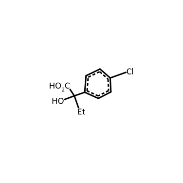 CCC(O)(C(=O)O)c1ccc(Cl)cc1